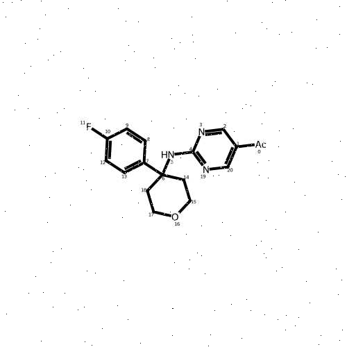 CC(=O)c1cnc(NC2(c3ccc(F)cc3)CCOCC2)nc1